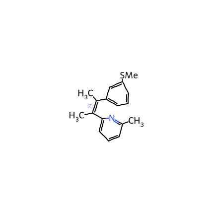 CSc1cccc(/C(C)=C(/C)c2cccc(C)n2)c1